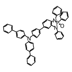 O=P1(c2ccccc2)N(c2ccccc2)c2ccc(-c3ccc(N(c4ccc(-c5ccccc5)cc4)c4ccc(-c5ccccc5)cc4)cc3)cc2N1c1ccccc1